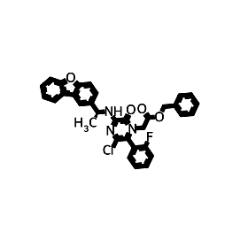 C[C@H](Nc1nc(Cl)c(-c2ccccc2F)n(CC(=O)OCc2ccccc2)c1=O)c1ccc2oc3ccccc3c2c1